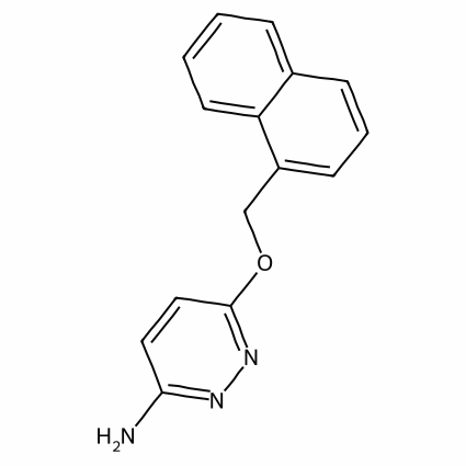 Nc1ccc(OCc2cccc3ccccc23)nn1